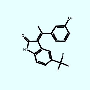 CC(=C1C(=O)Nc2ccc(C(F)(F)F)cc21)c1cccc(O)c1